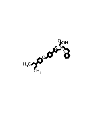 CCCC(CCC)c1ccc(OCc2ccc(-c3csc(CN(CC(=O)O)Cc4ccc5ccccc5n4)c3)cc2)cc1